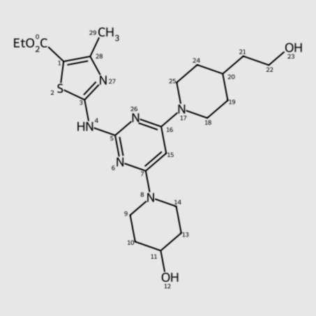 CCOC(=O)c1sc(Nc2nc(N3CCC(O)CC3)cc(N3CCC(CCO)CC3)n2)nc1C